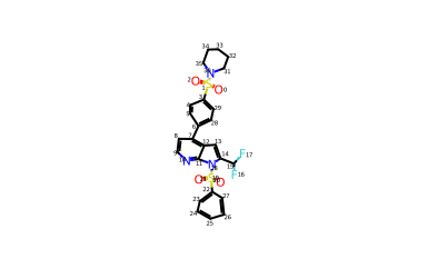 O=S(=O)(c1ccc(-c2ccnc3c2cc(C(F)F)n3S(=O)(=O)c2ccccc2)cc1)N1CCCCC1